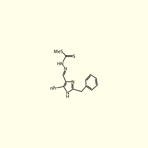 CCCc1[nH]c(Cc2ccccc2)nc1C=NNC(=S)SC